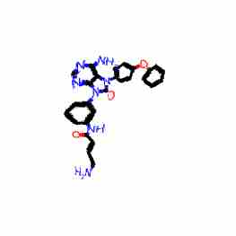 NC/C=C/C(=O)Nc1cccc(-n2c(=O)n(-c3ccc(Oc4ccccc4)cc3)c3c(N)ncnc32)c1